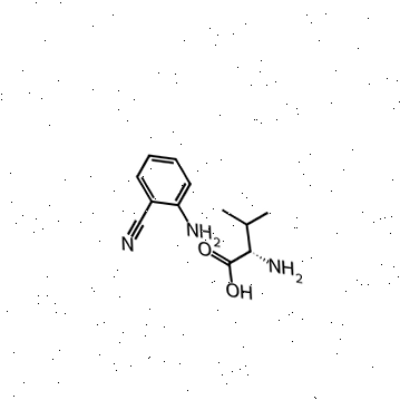 CC(C)[C@H](N)C(=O)O.N#Cc1ccccc1N